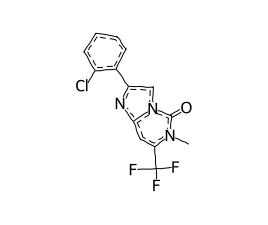 Cn1c(C(F)(F)F)cc2nc(-c3ccccc3Cl)cn2c1=O